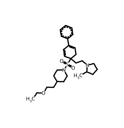 CCOCCC1CCN(S(=O)(=O)C2(CCN3CCCC3C)C=CC(c3ccccc3)=CC2)CC1